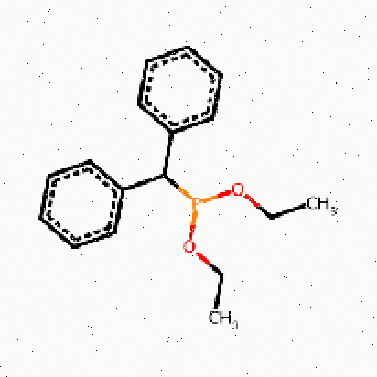 CCOP(OCC)C(c1ccccc1)c1ccccc1